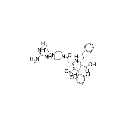 CCC(NC(=N)N)N1CCN(C(=O)CC2=C(C(=O)O)C(c3c(Cl)cccc3Cl)C(C(=O)O)=C(CCc3ccccc3)N2)CC1